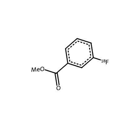 COC(=O)c1cccc([18F])c1